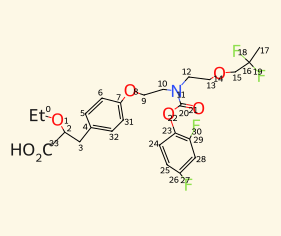 CCOC(Cc1ccc(OCCN(CCOCC(C)(F)F)C(=O)Oc2ccc(F)cc2F)cc1)C(=O)O